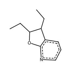 CCC1Oc2ncccc2C1CC